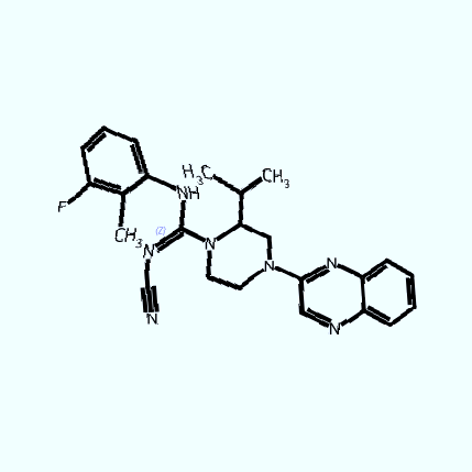 Cc1c(F)cccc1N/C(=N/C#N)N1CCN(c2cnc3ccccc3n2)CC1C(C)C